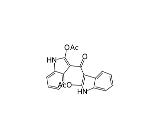 CC(=O)Oc1[nH]c2ccccc2c1C(=O)c1c(OC(C)=O)[nH]c2ccccc12